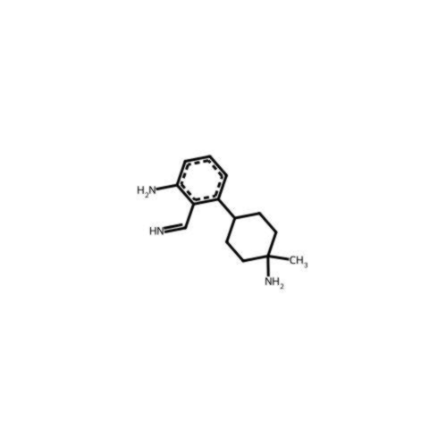 CC1(N)CCC(c2cccc(N)c2C=N)CC1